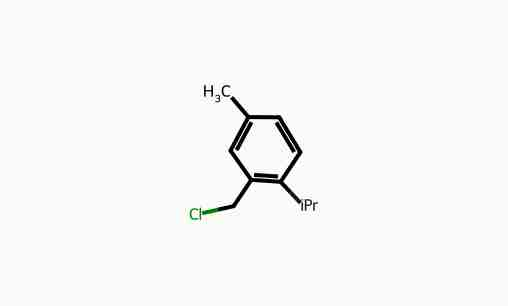 Cc1ccc(C(C)C)c(CCl)c1